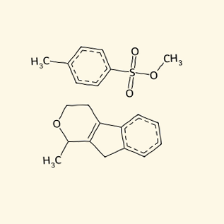 CC1OCCC2=C1Cc1ccccc12.COS(=O)(=O)c1ccc(C)cc1